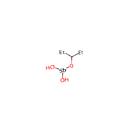 CCC(CC)[O][Sb]([OH])[OH]